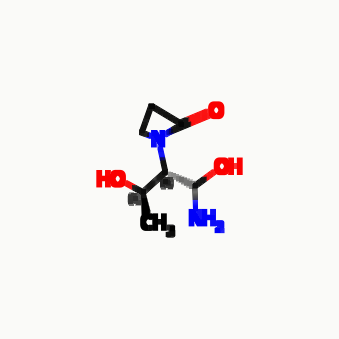 C[C@@H](O)[C@@H](C(N)O)N1CCC1=O